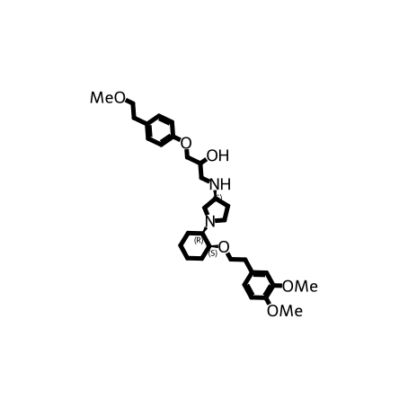 COCCc1ccc(OCC(O)CN[C@H]2CCN([C@@H]3CCCC[C@@H]3OCCc3ccc(OC)c(OC)c3)C2)cc1